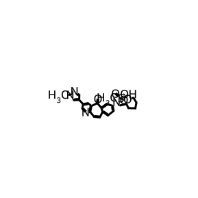 Cn1cc(-c2cnc3ccc4ccc([N+](C)(CC5CCCCO5)S(=O)(=O)O)cc4c(=O)c3c2)cn1